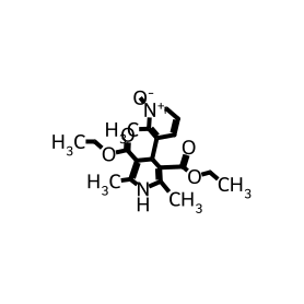 CCOC(=O)C1=C(C)NC(C)=C(C(=O)OCC)C1c1ccc[n+]([O-])c1C